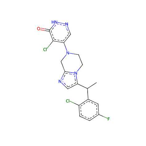 CC(c1cc(F)ccc1Cl)c1cnc2n1CCN(c1cn[nH]c(=O)c1Cl)C2